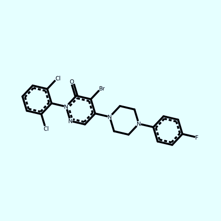 O=c1c(Br)c(N2CCN(c3ccc(F)cc3)CC2)cnn1-c1c(Cl)cccc1Cl